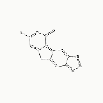 O=C1C=C(I)C=C2Cc3cc4c(cc3=C12)N=NN=4